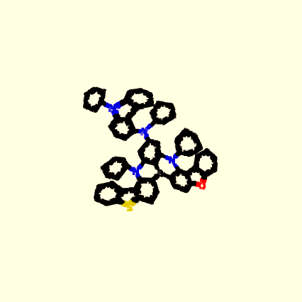 c1ccc(N2c3cc(N(c4ccccc4)c4cccc5c4c4ccccc4n5-c4ccccc4)cc4c3B(c3ccc5oc6ccccc6c5c32)c2ccc3sc5ccccc5c3c2N4c2ccccc2)cc1